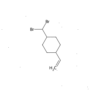 C=CC1CCC(C(Br)Br)CC1